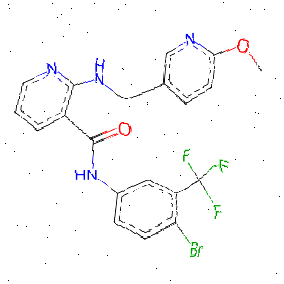 COc1ccc(CNc2ncccc2C(=O)Nc2ccc(Br)c(C(F)(F)F)c2)cn1